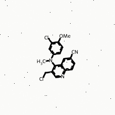 COc1ccc(N(C)c2c(CCl)cnc3ccc(C#N)cc23)cc1Cl